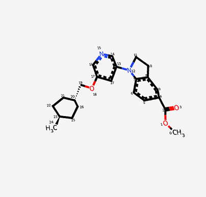 COC(=O)c1ccc2c(c1)CCN2c1cncc(OC[C@H]2CC[C@H](C)CC2)c1